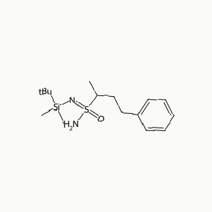 CC(CCc1ccccc1)S(N)(=O)=N[Si](C)(C)C(C)(C)C